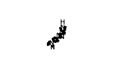 C=C(c1cnc([C@H]2CC[C@@H](N(C#N)/C=C\C)CC2C)cn1)C1CCNCC1